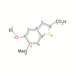 CCOc1cc2cc(C(=O)O)sc2cc1OC